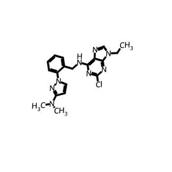 CCn1cnc2c(NCc3ccccc3-n3ccc(N(C)C)n3)nc(Cl)nc21